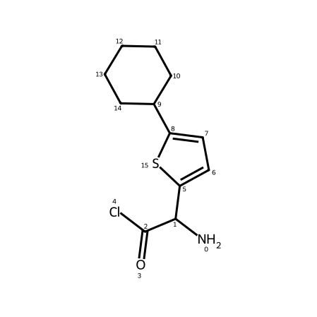 NC(C(=O)Cl)c1ccc(C2CCCCC2)s1